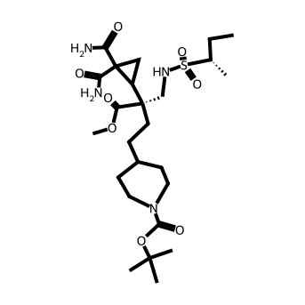 CC[C@H](C)S(=O)(=O)NC[C@](CCC1CCN(C(=O)OC(C)(C)C)CC1)(C(=O)OC)C1CC1(C(N)=O)C(N)=O